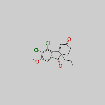 CCCC12CCC(=O)C=C1c1c(cc(OC)c(Cl)c1Cl)C2=O